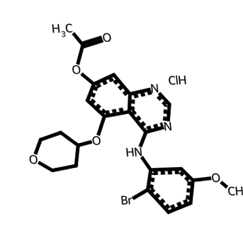 COc1ccc(Br)c(Nc2ncnc3cc(OC(C)=O)cc(OC4CCOCC4)c23)c1.Cl